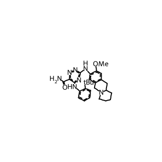 COc1cc2c(cc1Nc1nnc(C(N)=O)c(Nc3ccccc3C(C)(C)C)n1)CN1CCCCC1C2